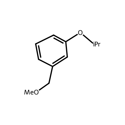 COCc1cccc(OC(C)C)c1